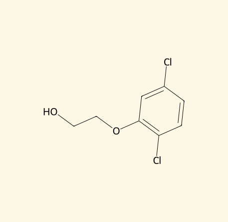 OCCOc1cc(Cl)ccc1Cl